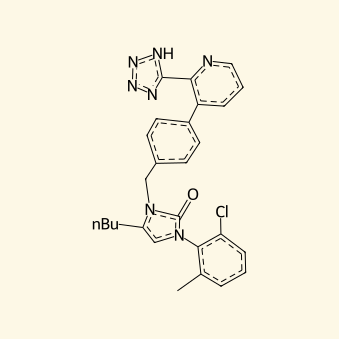 CCCCc1cn(-c2c(C)cccc2Cl)c(=O)n1Cc1ccc(-c2cccnc2-c2nnn[nH]2)cc1